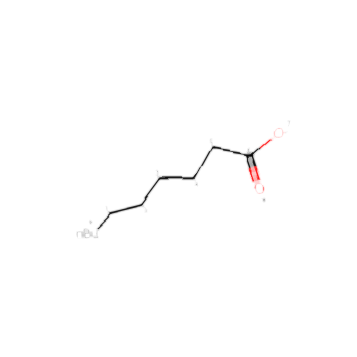 [CH2]CCCCCCCCC([O])=O